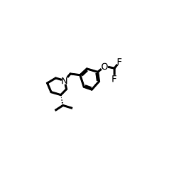 CC(C)[C@@H]1CCCN(Cc2cccc(OC(F)F)c2)C1